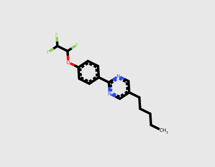 CCCCCc1cnc(-c2ccc(OC(F)C(F)F)cc2)nc1